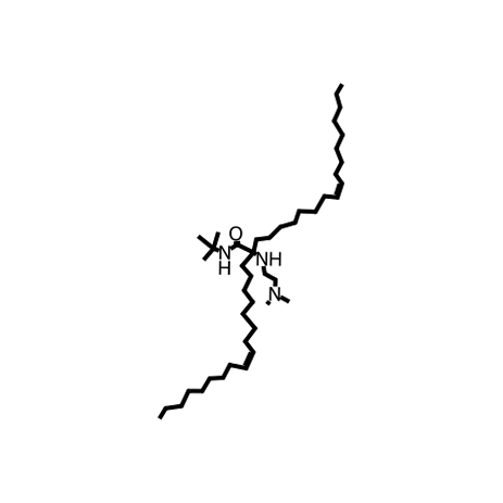 CCCCCCCC/C=C\CCCCCCCC(CCCCCCC/C=C\CCCCCCCC)(NCCN(C)C)C(=O)NC(C)(C)C